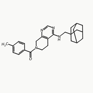 Cc1ccc(C(=O)N2CCc3c(ncnc3NCC34CC5CC(CC(C5)C3)C4)C2)cc1